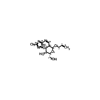 C=CCO[C@H]1O[C@H](CO)[C@H](O)[C@H](O)C1/C=N\c1nc(Cl)ns1